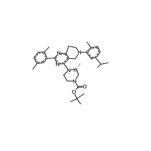 Cc1ccc(C)c(-c2nc3c(c(N4CCN(C(=O)OC(C)(C)C)C[C@H]4C)n2)CN(c2cc(C(C)C)ccc2C)CC3)c1